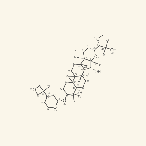 CO[C@@H]([C@H]1C[C@@H](C)[C@H]2[C@H](O1)[C@H](O)[C@@]1(C)[C@@H]3CC[C@H]4C(C)(C)[C@@H](O[C@H]5CN(C6(C)COC6)CCO5)CCC45C[C@@]35CC[C@]21C)C(C)(C)O